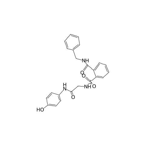 O=C(CNS(=O)(=O)c1ccccc1C(=O)NCc1ccccc1)Nc1ccc(O)cc1